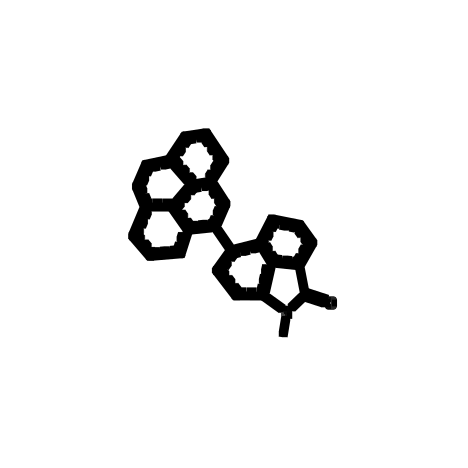 CN1C(=O)c2cccc3c(-c4cc5cccc6ccc7cccc4c7c65)ccc1c23